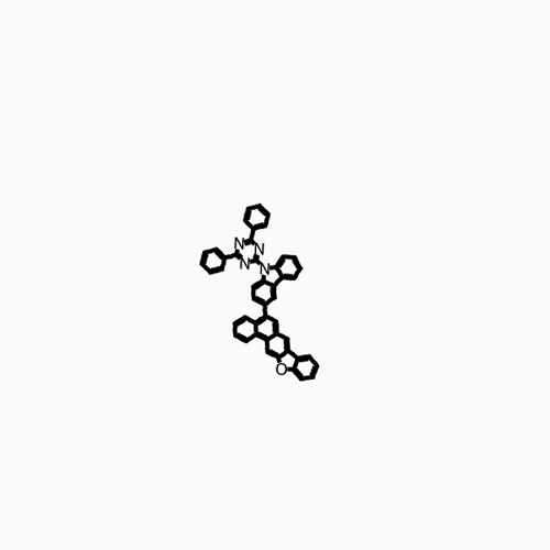 c1ccc(-c2nc(-c3ccccc3)nc(-n3c4ccccc4c4cc(-c5cc6cc7c(cc6c6ccccc56)oc5ccccc57)ccc43)n2)cc1